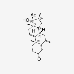 C=C1C[C@@H]2C(=CC[C@@]3(C)[C@H]2C[C@H](C)[C@]3(O)C(C)=O)[C@@]2(C)CCC(=O)C=C12